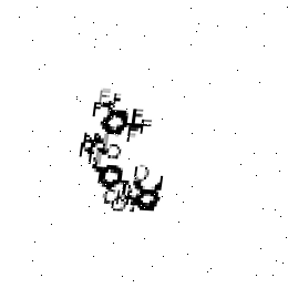 Cc1cc(Cn2nnn(-c3cc(C(F)(F)F)cc(C(F)(F)F)c3)c2=O)ccc1N1C(=O)c2cccc(I)c2C1=O